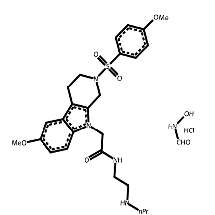 CCCNCCNC(=O)Cn1c2c(c3cc(OC)ccc31)CCN(S(=O)(=O)c1ccc(OC)cc1)C2.Cl.O=CNO